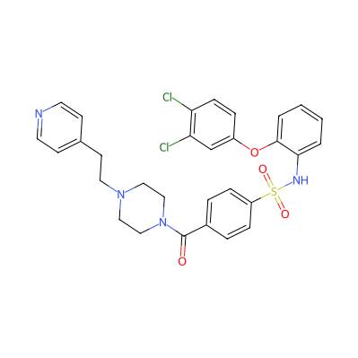 O=C(c1ccc(S(=O)(=O)Nc2ccccc2Oc2ccc(Cl)c(Cl)c2)cc1)N1CCN(CCc2ccncc2)CC1